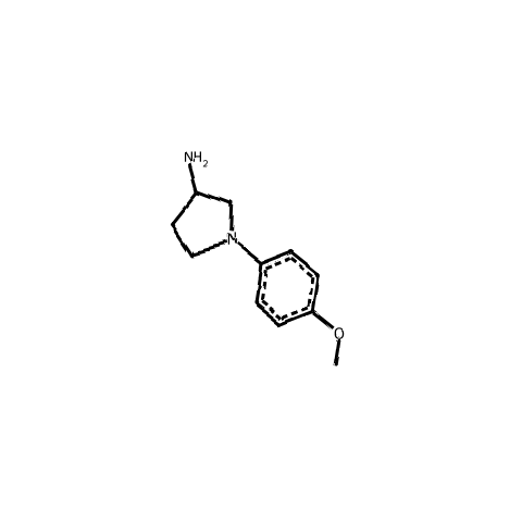 COc1ccc(N2CCC(N)C2)cc1